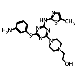 Cc1cnc(Nc2nc(Sc3cccc(N)c3)nc(N3CCN(CCO)CC3)n2)s1